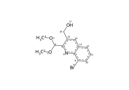 COC(OC)c1nc2c(Br)cccc2cc1CO